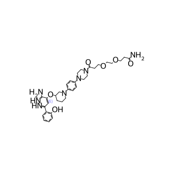 N=C(N)/C(=C\C(=N)c1ccccc1O)OC1CCCN(c2ccc(N3CCN(C(=O)CCOCCOCCC(N)=O)CC3)cc2)C1